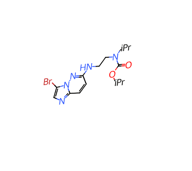 CC(C)OC(=O)N(CCNc1ccc2ncc(Br)n2n1)C(C)C